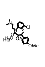 COc1ccc(C2Sc3c(Cl)cccc3N(CCN(C)C)C(=O)C2OC(C)=O)cc1.Cl.O